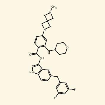 CN1CC2(C1)CN(c1ccc(C(=O)Nc3n[nH]c4ccc(Cc5cc(F)cc(F)c5)cc34)c(NC3CCOCC3)c1)C2